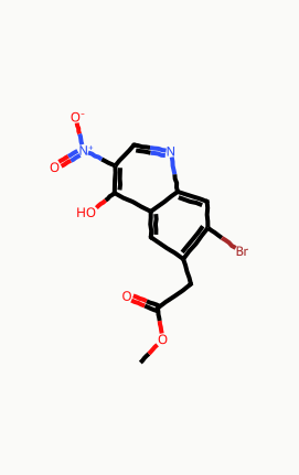 COC(=O)Cc1cc2c(O)c([N+](=O)[O-])cnc2cc1Br